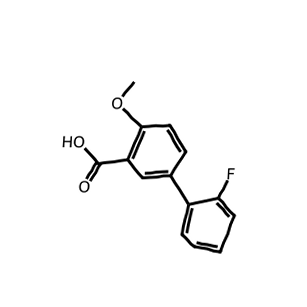 COc1ccc(-c2ccccc2F)cc1C(=O)O